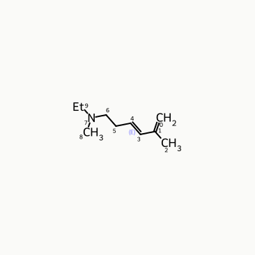 C=C(C)/C=C/CCN(C)CC